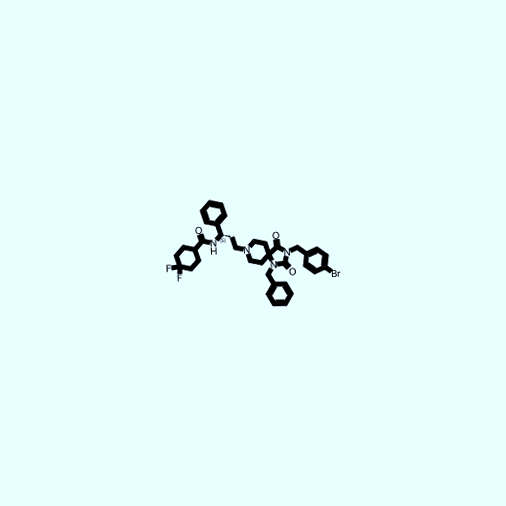 O=C(N[C@@H](CCN1CCC2(CC1)C(=O)N(Cc1ccc(Br)cc1)C(=O)N2Cc1ccccc1)c1ccccc1)C1CCC(F)(F)CC1